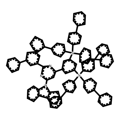 c1ccc(-c2ccc([Si](c3ccc(-c4ccccc4)cc3)(c3ccc(-c4ccccc4)cc3)c3cc(-c4cc(-n5c6ccccc6c6ccccc65)nc(-c5cccc(-c6ccccc6)c5)n4)cc([Si](c4ccc(-c5ccccc5)cc4)(c4ccc(-c5ccccc5)cc4)c4ccc(-c5ccccc5)cc4)c3)cc2)cc1